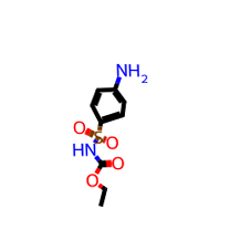 CCOC(=O)NS(=O)(=O)c1ccc(N)cc1